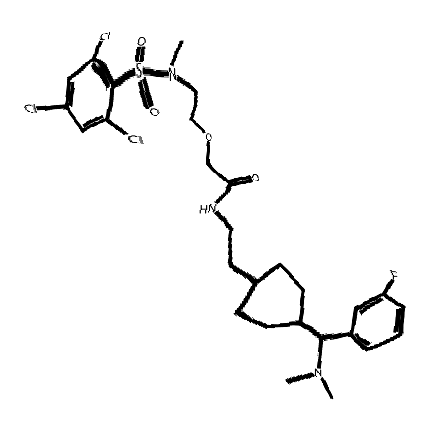 CN(C)C(c1cccc(F)c1)C1CCC(CCNC(=O)COCCN(C)S(=O)(=O)c2c(Cl)cc(Cl)cc2Cl)CC1